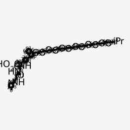 Cc1ccnc(NCCCC(=O)NCC(=O)N[C@@H](CC(=O)O)c2ccc(-c3ccc(OCCOCCOCCOCCOCCOCCOCCOCCOCCOCCOCCOCCC(C)C)c4ccccc34)cc2)c1